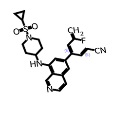 C=C(F)/C=C(\C=C\C#N)c1cc(NC2CCN(S(=O)(=O)C3CC3)CC2)c2cnccc2c1